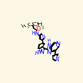 CC(C)CC(=O)Nc1cncc(-c2ccc3[nH]nc(-c4nc5c(-c6cccnc6)cncc5[nH]4)c3c2)c1